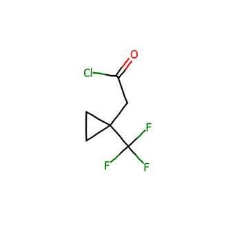 O=C(Cl)CC1(C(F)(F)F)CC1